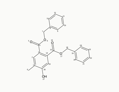 Cc1cc(C(=O)OCc2ccccc2)c(C(=O)OCc2ccccc2)cc1O